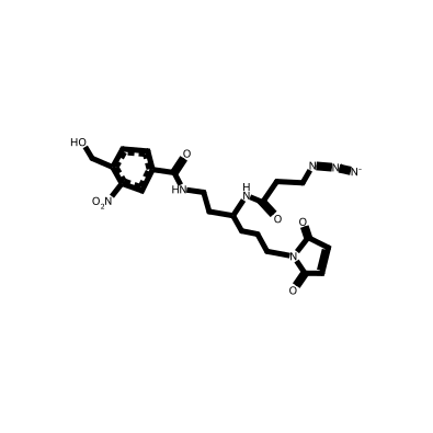 [N-]=[N+]=NCCC(=O)NC(CCCN1C(=O)C=CC1=O)CCNC(=O)c1ccc(CO)c([N+](=O)[O-])c1